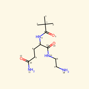 CC(C)(C)C(=O)NC(CCC(N)=O)C(=O)NCCN